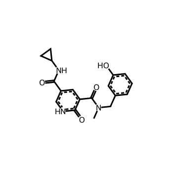 CN(Cc1cccc(O)c1)C(=O)c1cc(C(=O)NC2CC2)c[nH]c1=O